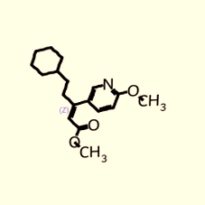 COC(=O)/C=C(/CCC1CCCCC1)c1ccc(OC)nc1